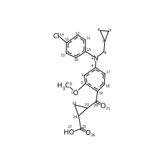 COc1cc(N(CC2CC2)c2ccc(Cl)cc2)ccc1C(=O)C1CC1C(=O)O